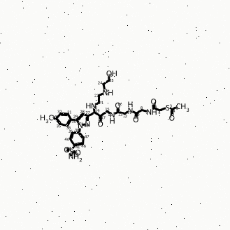 CC(=O)SCC(=O)NCC(=O)NCC(=O)NCC(=O)C(NCCNCCO)c1cc(-c2ccc(C)cc2)n(-c2ccc(S(N)(=O)=O)cc2)n1